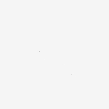 CCOC1(CC)C=CC(N)(CC)C=C1